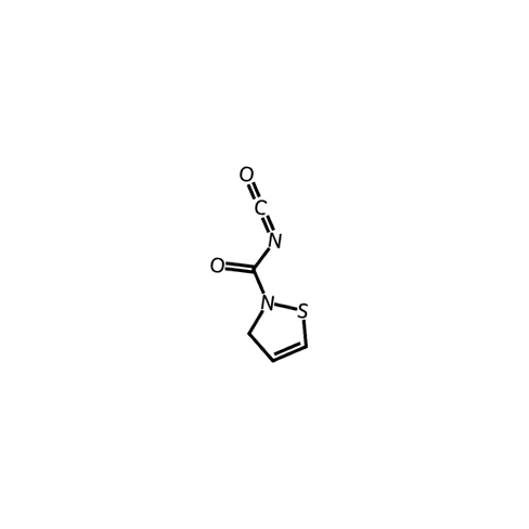 O=C=NC(=O)N1CC=CS1